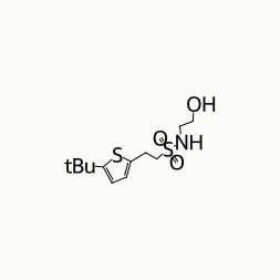 CC(C)(C)c1ccc(CCS(=O)(=O)NCCO)s1